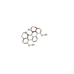 CC(C)Oc1cccc(OC(C)C)c1-c1cccc(-c2c(OC(C)C)cccc2OC(C)C)c1P(c1ccccc1)C1CCCCC1